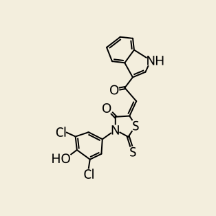 O=C(/C=C1/SC(=S)N(c2cc(Cl)c(O)c(Cl)c2)C1=O)c1c[nH]c2ccccc12